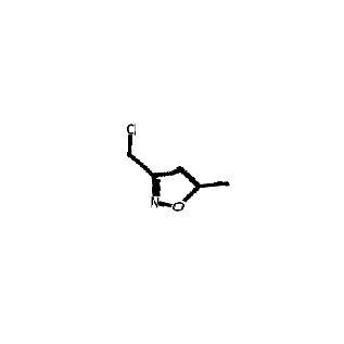 CC1CC(CCl)=NO1